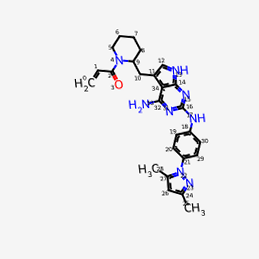 C=CC(=O)N1CCCCC1Cc1c[nH]c2nc(Nc3ccc(-n4nc(C)cc4C)cc3)nc(N)c12